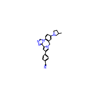 CC1CCN(c2ccc3c(c2)Cn2cc(-c4ccc(C#N)cc4)cc2-c2nncn2-3)C1